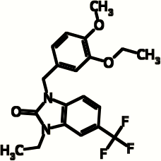 CCOc1cc(Cn2c(=O)n(CC)c3cc(C(F)(F)F)ccc32)ccc1OC